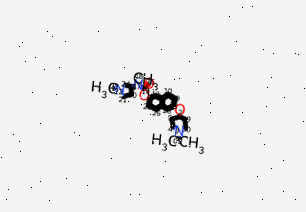 CC(C)N1CCC(Oc2ccc3cc(OC(=O)N(C)C4CCN(C)C4)ccc3c2)CC1